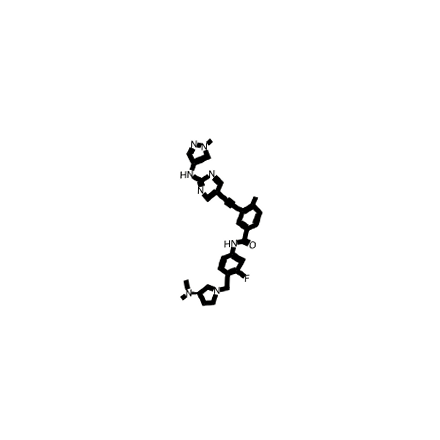 Cc1ccc(C(=O)Nc2ccc(CN3CC[C@@H](N(C)C)C3)c(F)c2)cc1C#Cc1cnc(Nc2cnn(C)c2)nc1